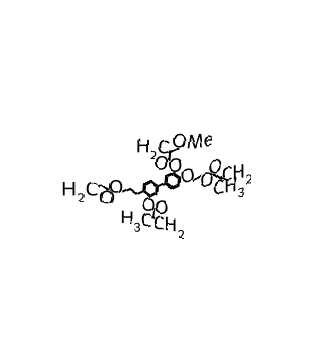 C=CC(=O)OCCCc1ccc(-c2ccc(OCCOC(=O)C(=C)C)c(OC(=O)C(=C)COC)c2)cc1OC(=O)C(=C)C